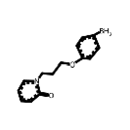 Bc1ccc(OCCCn2ccccc2=O)cc1